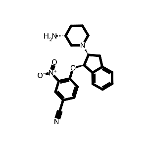 N#Cc1ccc(O[C@@H]2c3ccccc3C[C@H]2N2CCC[C@@H](N)C2)c([N+](=O)[O-])c1